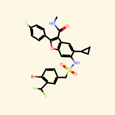 CNC(=O)c1c(-c2ccc(F)cc2)oc2cc(NS(=O)(=O)Cc3ccc(Br)c(C(F)F)c3)c(C3CC3)cc12